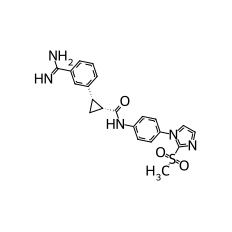 CS(=O)(=O)c1nccn1-c1ccc(NC(=O)[C@@H]2C[C@@H]2c2cccc(C(=N)N)c2)cc1